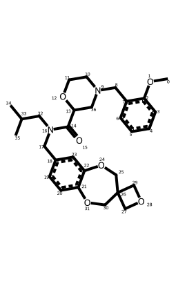 COc1ccccc1CN1CCOC(C(=O)N(Cc2ccc3c(c2)OCC2(COC2)CO3)CC(C)C)C1